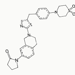 O=C1CCCN1c1ccc2c(c1)CN(c1ncc(Cc3ccc(N4CCS(=O)(=O)CC4)cc3)s1)CC2